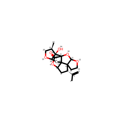 C=C(C)[C@@H]1CC2OC(=O)C34OC5OCCC51C23CC1OC[C@@H](C)[C@@]14O